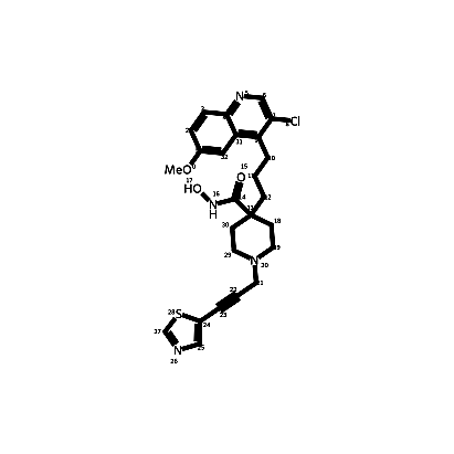 COc1ccc2ncc(Cl)c(CCCC3(C(=O)NO)CCN(CC#Cc4cncs4)CC3)c2c1